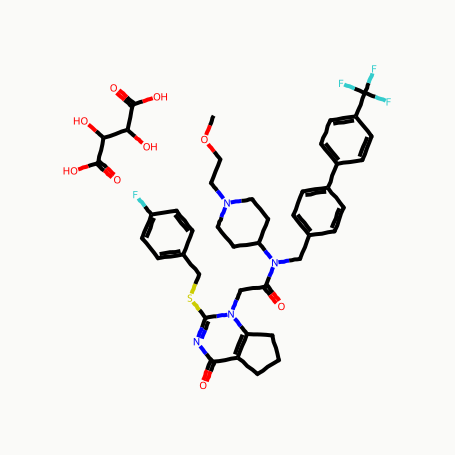 COCCN1CCC(N(Cc2ccc(-c3ccc(C(F)(F)F)cc3)cc2)C(=O)Cn2c(SCc3ccc(F)cc3)nc(=O)c3c2CCC3)CC1.O=C(O)C(O)C(O)C(=O)O